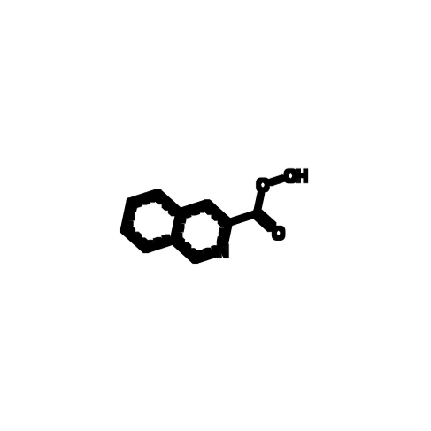 O=C(OO)c1cc2ccccc2cn1